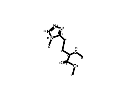 COC(=O)C(CCc1nnnn1C)SC